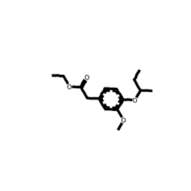 CCOC(=O)Cc1ccc(OC(C)CC)c(OC)c1